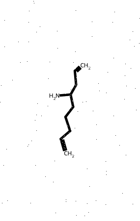 C=CCCCC(N)CC=C